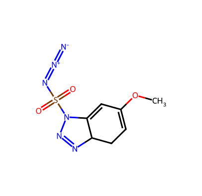 COC1=CCC2N=NN(S(=O)(=O)N=[N+]=[N-])C2=C1